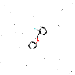 Fc1[c]cccc1COc1ccccc1